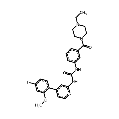 CCN1CCN(C(=O)c2cccc(NC(=O)Nc3cc(-c4ccc(F)cc4OC)ccn3)c2)CC1